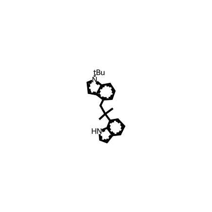 CC(C)(Cc1cccc2c1ccn2C(C)(C)C)c1cccc2cc[nH]c12